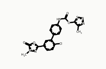 Cc1nnsc1OC(=O)Nc1ccc(-c2cc(-c3nn(C)c(=O)o3)ccc2Cl)cc1